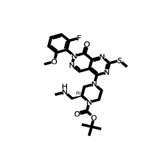 CNC[C@H]1CN(c2nc(SC)nc3c(=O)n(-c4c(F)cccc4OC)ncc23)CCN1C(=O)OC(C)(C)C